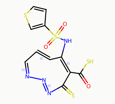 O=C(S)/C1=C(NS(=O)(=O)c2ccsc2)/C=C/C=N\N=N\C1=S